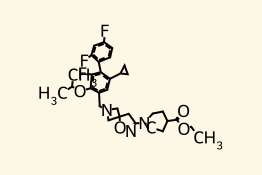 CCOC(=O)C1CCN(C2=NOC3(C2)CN(Cc2cc(C4CC4)c(-c4ccc(F)cc4F)c(F)c2OC(C)C)C3)CC1